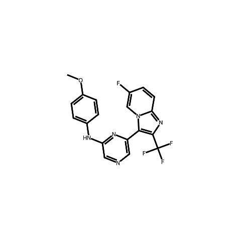 COc1ccc(Nc2cncc(-c3c(C(F)(F)F)nc4ccc(F)cn34)n2)cc1